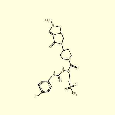 CN1C=C2C(=O)N(C3CCN(C(=O)[C@@H](CCS(C)(=O)=O)NC(=O)Nc4ccc(Cl)cc4)CC3)CN2C1